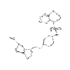 COc1ccc2c(c1)C(CCN1CCC(NS(=O)(=O)c3cccc4cnccc34)CC1)=CC2